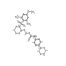 COc1cc(C)c(S(=O)(=O)N2CCCCC2COCC(=O)Nc2ccc(N3CCOCC3)cc2)c(C)c1